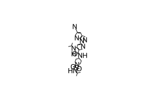 CC(C)Nc1cc(-n2ncc3cc(C#N)cnc32)ncc1C(=O)NC1CCN(S(=O)(=O)NC(C)C)CC1